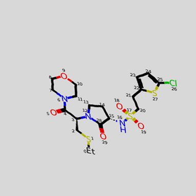 CCSC[C@@H](C(=O)N1CCOCC1)N1CC[C@H](NS(=O)(=O)CCc2ccc(Cl)s2)C1=O